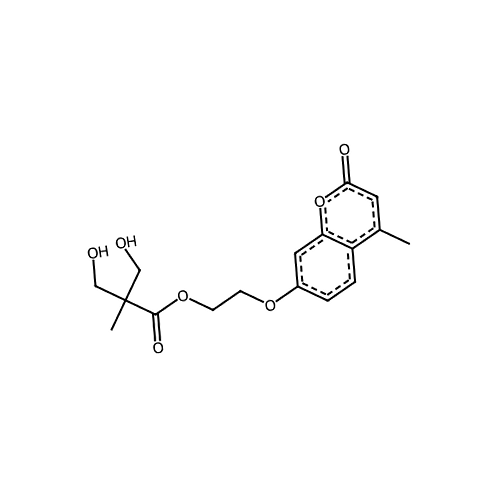 Cc1cc(=O)oc2cc(OCCOC(=O)C(C)(CO)CO)ccc12